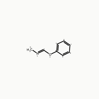 C/N=C/Oc1ccccc1